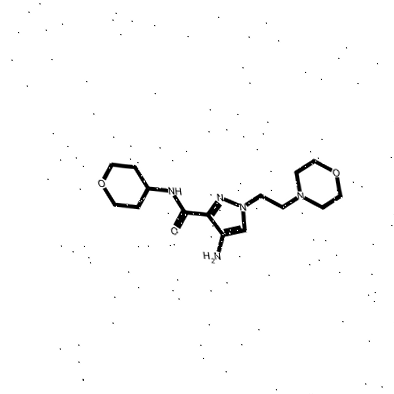 Nc1cn(CCN2CCOCC2)nc1C(=O)NC1CCOCC1